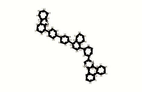 c1cc(-c2cnc3c4ccccc4c4ccccc4c3n2)cc(-c2ccc(-c3ccc(-c4ccc(-c5cccc6c5sc5ccccc56)cc4)cc3)c3ccccc23)c1